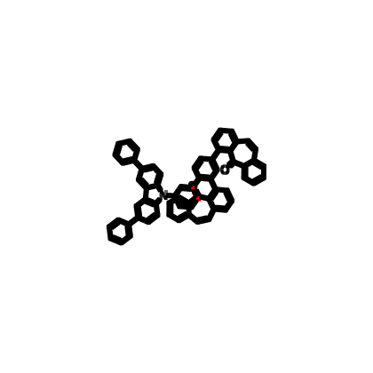 O=c1c2ccccc2ccc2cccc(-c3ccc(-c4cccc(-n5c6ccc(-c7ccccc7)cc6c6cc(-c7ccccc7)ccc65)c4)c(-c4cccc5ccc6ccccc6c(=O)c45)c3)c12